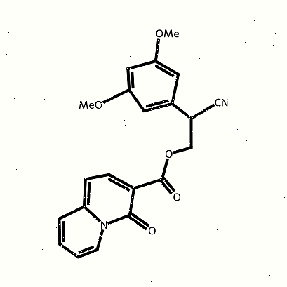 COc1cc(OC)cc(C(C#N)COC(=O)c2ccc3ccccn3c2=O)c1